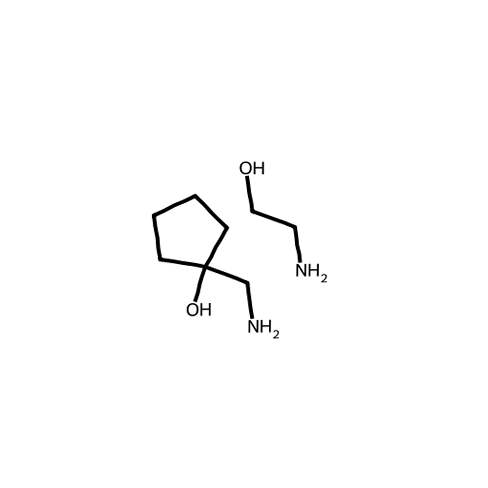 NCC1(O)CCCC1.NCCO